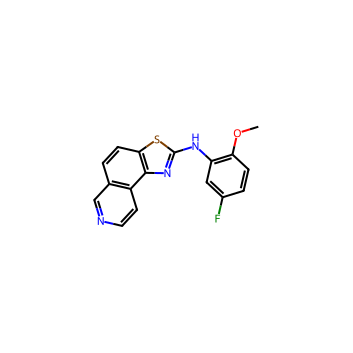 COc1ccc(F)cc1Nc1nc2c(ccc3cnccc32)s1